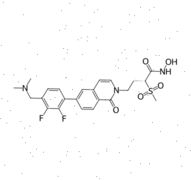 CN(C)Cc1ccc(-c2ccc3c(=O)n(CC[C@H](C(=O)NO)S(C)(=O)=O)ccc3c2)c(F)c1F